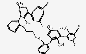 Cc1cc(-c2cc(F)cc(F)c2)c(O)c(-c2ccccc2OCCCOc2ccccc2-c2cc(C)cc(-c3cc(F)cc(F)c3C)c2O)c1